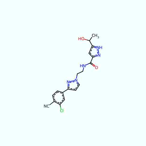 CC(O)c1cc(C(=O)NCCn2ccc(-c3ccc(C#N)c(Cl)c3)n2)n[nH]1